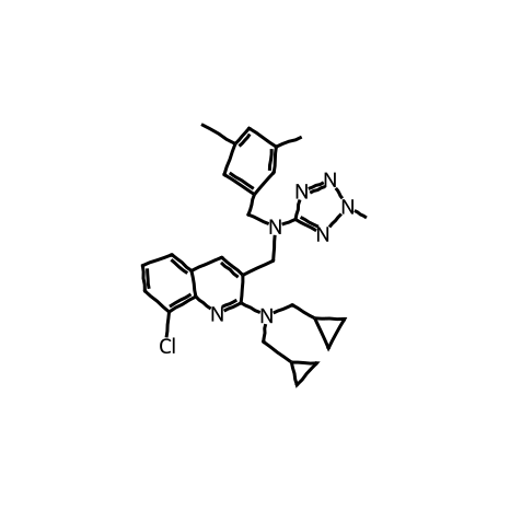 Cc1cc(C)cc(CN(Cc2cc3cccc(Cl)c3nc2N(CC2CC2)CC2CC2)c2nnn(C)n2)c1